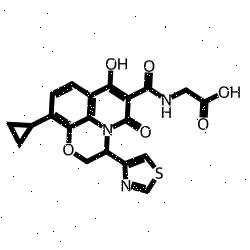 O=C(O)CNC(=O)c1c(O)c2ccc(C3CC3)c3c2n(c1=O)C(c1cscn1)CO3